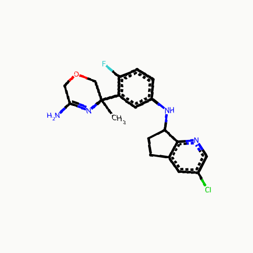 CC1(c2cc(NC3CCc4cc(Cl)cnc43)ccc2F)COCC(N)=N1